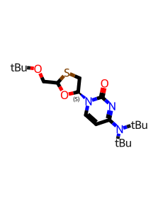 CC(C)(C)OCC1O[C@H](n2ccc(N(C(C)(C)C)C(C)(C)C)nc2=O)CS1